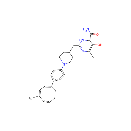 CC(=O)C1=C/C=C(/c2ccc(N3CCC(CC4=NC(C)=C(O)C(C(N)=O)N4)CC3)cc2)CC/C=C\1